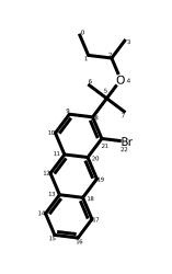 CCC(C)OC(C)(C)c1ccc2cc3ccccc3cc2c1Br